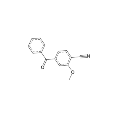 COc1cc(C(=O)c2ccccc2)ccc1C#N